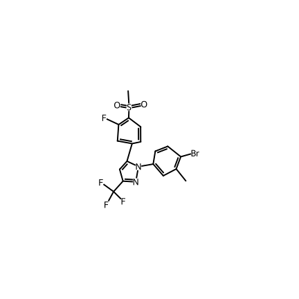 Cc1cc(-n2nc(C(F)(F)F)cc2-c2ccc(S(C)(=O)=O)c(F)c2)ccc1Br